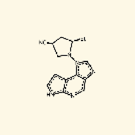 CC[C@@H]1C[C@H](C#N)CN1n1cnc2cnc3[nH]ccc3c21